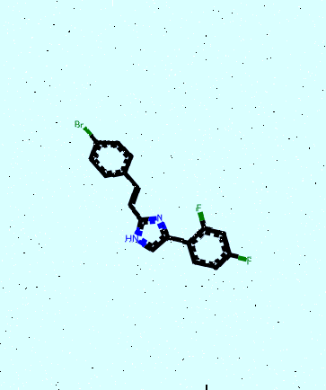 Fc1ccc(-c2c[nH]c(C=Cc3ccc(Br)cc3)n2)c(F)c1